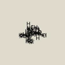 CCC(C)[C@H](NC(=O)[C@H](Cc1c[nH]cn1)NC(=O)[C@H](Cc1cccc2ccccc12)NC(=O)OCc1ccccc1)[C@@H](O)CC(=O)NNC(=O)CCCCl